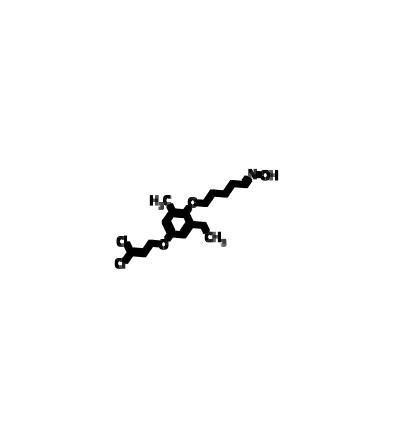 CCc1cc(OCC=C(Cl)Cl)cc(C)c1OCCCCC=NO